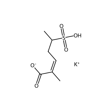 CC(=CCC(C)S(=O)(=O)O)C(=O)[O-].[K+]